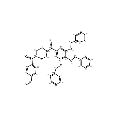 COc1ccc(C(=O)N2CCN(C(=O)c3cc(OCc4ccccc4)c(OCc4ccccc4)c(OCc4ccccc4)c3)CC2)cc1